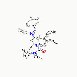 CCOC(=O)N(Cc1ccccc1)[C@@H]1C[C@H](C)N(C(=O)N(C)C)c2cc(OC)c(OC)cc21